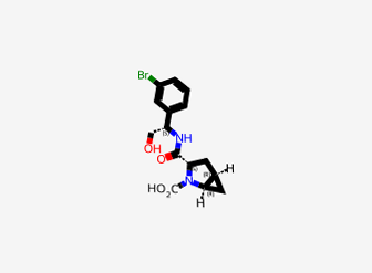 O=C(N[C@H](CO)c1cccc(Br)c1)[C@@H]1C[C@H]2C[C@H]2N1C(=O)O